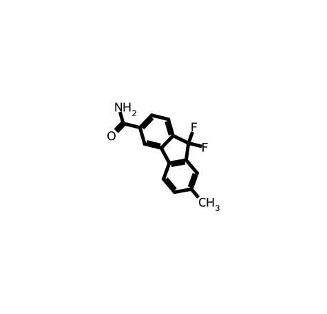 Cc1ccc2c(c1)C(F)(F)c1ccc(C(N)=O)cc1-2